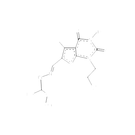 Cc1c(/C=N/NC(O)OC(C)(C)C)sc2c1c(=O)n(C(C)C)c(=O)n2CCC(F)(F)F